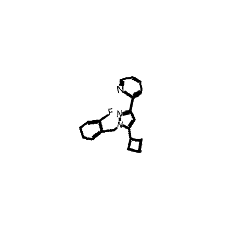 FC1=CCCC=C1Cn1nc(-c2ccccn2)cc1C1CCC1